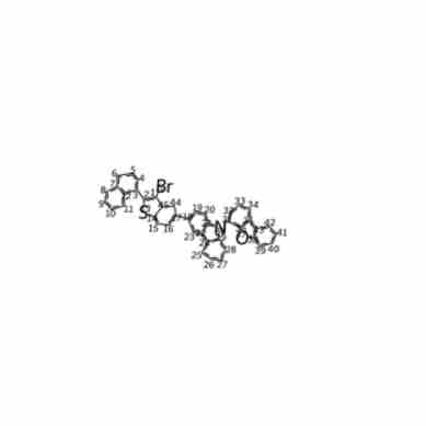 BrC1=C(c2cccc3ccccc23)SC2=CC=C(c3ccc4c(c3)c3ccccc3n4-c3cccc4c3oc3ccccc34)CC21